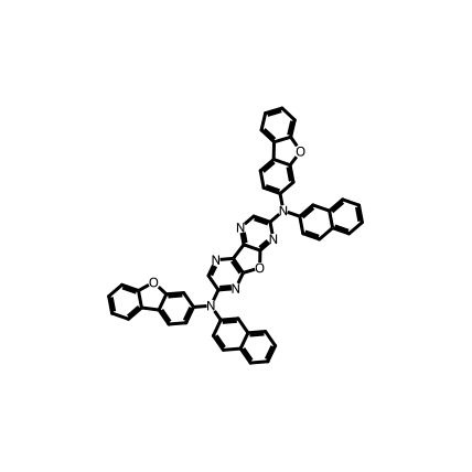 c1ccc2cc(N(c3ccc4c(c3)oc3ccccc34)c3cnc4c(n3)oc3nc(N(c5ccc6ccccc6c5)c5ccc6c(c5)oc5ccccc56)cnc34)ccc2c1